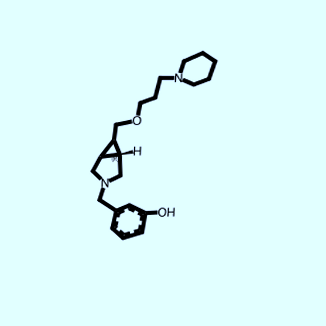 Oc1cccc(CN2CC3C(COCCCN4CCCCC4)[C@@H]3C2)c1